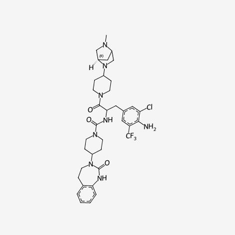 CN1C[C@H]2CC1CN2C1CCN(C(=O)C(Cc2cc(Cl)c(N)c(C(F)(F)F)c2)NC(=O)N2CCC(N3CCc4ccccc4NC3=O)CC2)CC1